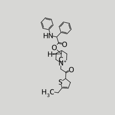 CCC1=CCC(C(=O)C[N+]23CCC(CC2)[C@@H](OC(=O)C(Nc2ccccc2)c2ccccc2)C3)S1